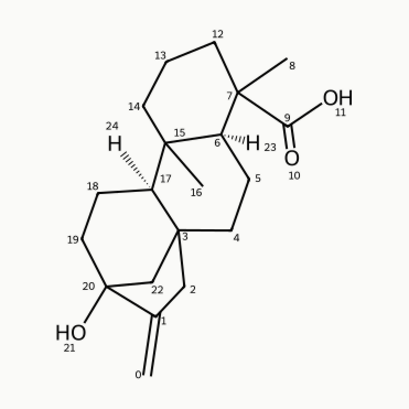 C=C1CC23CC[C@@H]4C(C)(C(=O)O)CCCC4(C)[C@@H]2CCC1(O)C3